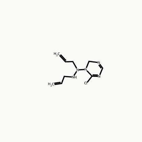 C=CCNN(CC=C)N1CN=CN=C1Cl